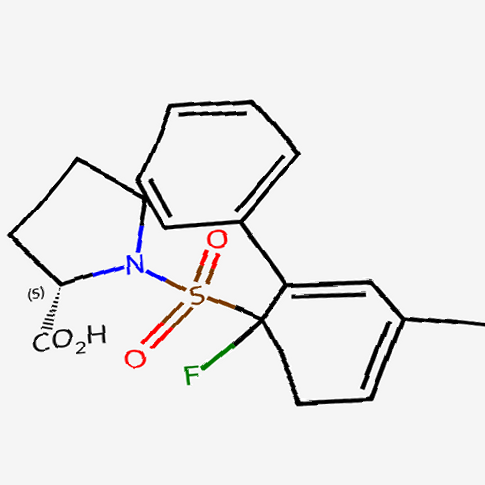 CC1=CCC(F)(S(=O)(=O)N2CCC[C@H]2C(=O)O)C(c2ccccc2)=C1